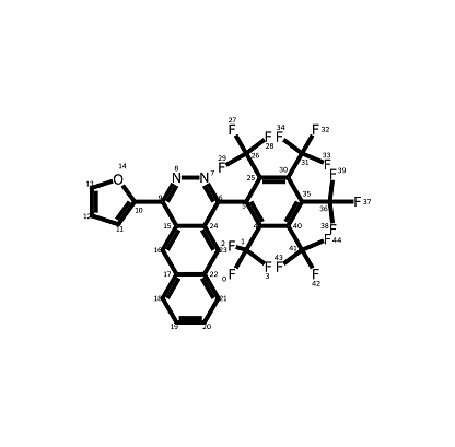 FC(F)(F)c1c(-c2nnc(-c3ccco3)c3cc4ccccc4cc23)c(C(F)(F)F)c(C(F)(F)F)c(C(F)(F)F)c1C(F)(F)F